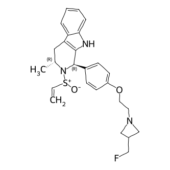 C=C[S+]([O-])N1[C@H](c2ccc(OCCN3CC(CF)C3)cc2)c2[nH]c3ccccc3c2C[C@H]1C